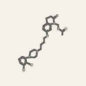 CC(=O)OCN1C(=O)CCc2ccc(OCCCCN3CCN(c4cccc(Cl)c4Cl)CC3)cc21